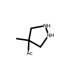 CC(=O)C1(C)CNNC1